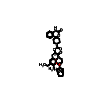 CCc1cc(C[C@@H](OC(=O)N2CCC3(CC2)OC(=O)Nc2ccccc23)C(=O)N2CCN(C3CC4CCC(C3)N4C)CC2)cc(Cl)c1N